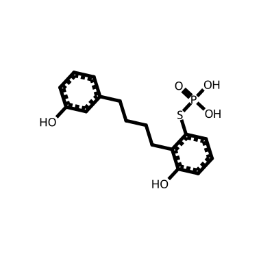 O=P(O)(O)Sc1cccc(O)c1CCCCc1cccc(O)c1